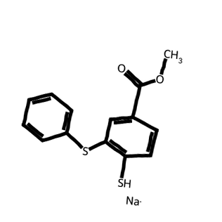 COC(=O)c1ccc(S)c(Sc2ccccc2)c1.[Na]